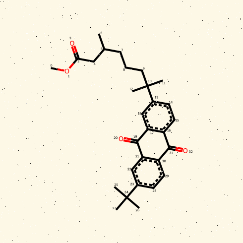 COC(=O)CC(C)CCCC(C)(C)c1ccc2c(c1)C(=O)c1cc(C(C)(C)C)ccc1C2=O